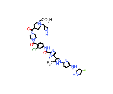 Cn1c(-c2cn(-c3ccc(NC[C@@H]4C[C@H](F)CN4)cn3)nc2C(F)(F)F)cnc1C(=O)Nc1ccc(C(=O)N2CCN(C(=O)C3CC[N+](CC(=O)O)(CC4CNC4)CC3)CC2)c(Cl)c1